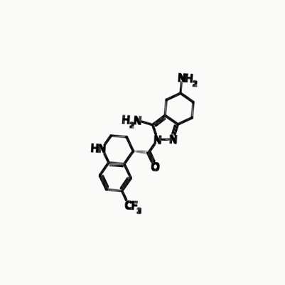 Nc1c2c(nn1C(=O)[C@H]1CCNc3ccc(C(F)(F)F)cc31)CCC(N)C2